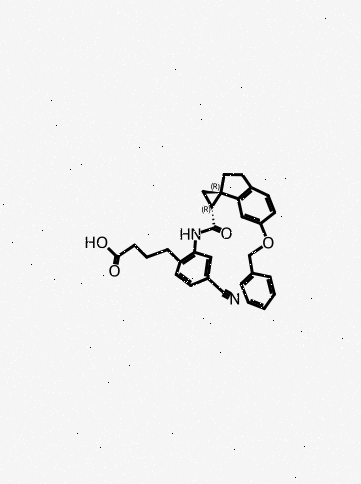 N#Cc1ccc(CCCC(=O)O)c(NC(=O)[C@@H]2C[C@]23CCc2ccc(OCc4ccccc4)cc23)c1